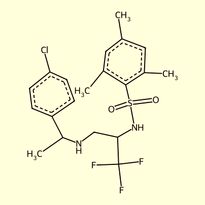 Cc1cc(C)c(S(=O)(=O)NC(CNC(C)c2ccc(Cl)cc2)C(F)(F)F)c(C)c1